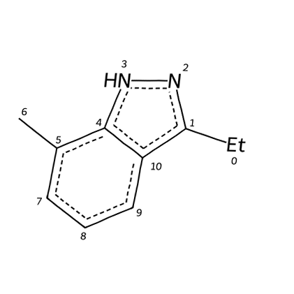 CCc1n[nH]c2c(C)cccc12